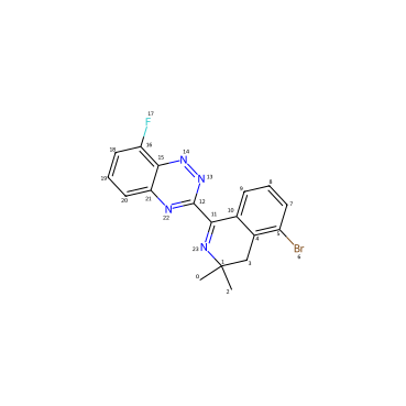 CC1(C)Cc2c(Br)cccc2C(c2nnc3c(F)cccc3n2)=N1